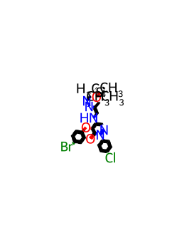 C/N=N\C(=C/Nc1cnn(-c2ccc(Cl)cc2)c(=O)c1Oc1ccc(Br)cc1)CO[Si](C)(C)C